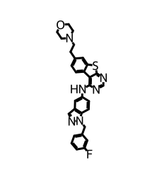 Fc1cccc(Cn2ncc3cc(Nc4ncnc5sc6cc(CCN7CCOCC7)ccc6c45)ccc32)c1